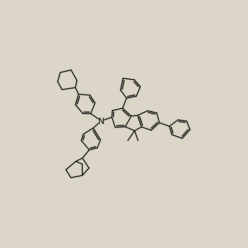 CC1(C)c2cc(-c3ccccc3)ccc2-c2c(-c3ccccc3)cc(N(c3ccc(C4CCCCC4)cc3)c3ccc(C4CC5CCC4C5)cc3)cc21